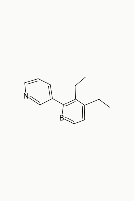 CCc1ccbc(-c2cccnc2)c1CC